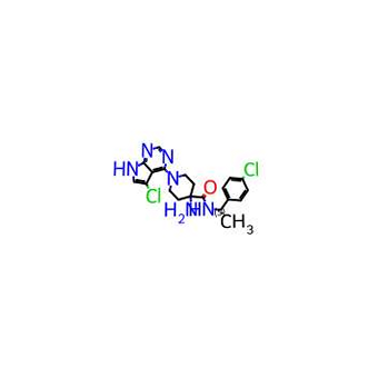 C[C@H](NC(=O)C1(N)CCN(c2ncnc3[nH]cc(Cl)c23)CC1)c1ccc(Cl)cc1